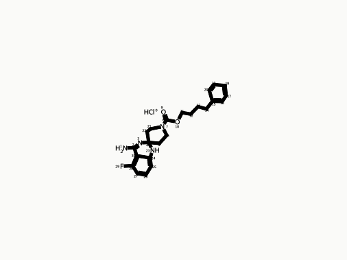 Cl.NC1=NC2(CCN(C(=O)OCCCCc3ccccc3)CC2)Nc2cccc(F)c21